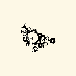 CO[C@@H](C)c1ncc(N2CCOCC2)cc1-c1c2c3cc(cc4c3n1CC(OCc1ccccc1)C4)-c1csc(n1)C[C@H](NC(=O)C1[C@@H](C)[C@H]1C)C(=O)N1CCC[C@H](N1)C(=O)OCC(C)(C)C2